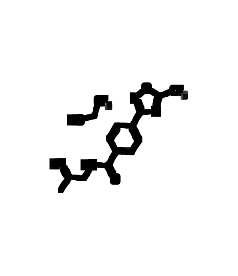 CC(=N)CNC(=O)c1ccc(-c2noc(C(F)(F)F)n2)cc1.OCC(F)(F)F